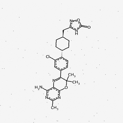 Cc1nc(N)c2c(n1)OC(C)(C)C(c1ccc([C@H]3CC[C@H](Cc4noc(=O)[nH]4)CC3)c(Cl)c1)=N2